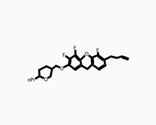 C=CCCc1ccc2c(c1F)Oc1c(cc(OCC3CCC(CCC)OC3)c(F)c1F)C2